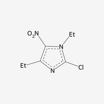 CCc1nc(Cl)n(CC)c1[N+](=O)[O-]